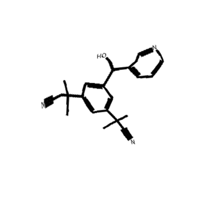 CC(C)(C#N)c1cc(C(O)c2cccnc2)cc(C(C)(C)C#N)c1